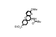 CCOC(=O)N1CCC2(CC1)C[C@H](N[S+]([O-])C(C)(C)C)c1nc(OC)ccc1O2